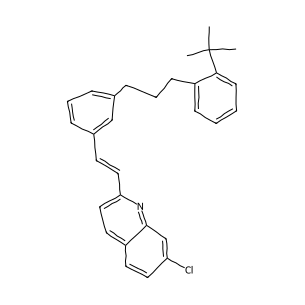 CC(C)(C)c1ccccc1CCCc1cccc(/C=C/c2ccc3ccc(Cl)cc3n2)c1